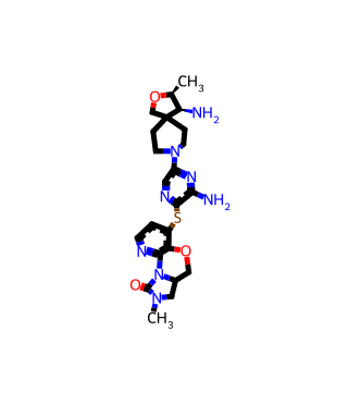 C[C@@H]1OCC2(CCN(c3cnc(Sc4ccnc5c4OCC4CN(C)C(=O)N54)c(N)n3)CC2)[C@@H]1N